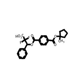 CC1(OC(=O)c2ccc(C(=O)OC(c3ccccc3)C(F)(F)C(=O)O)cc2)CCCC1